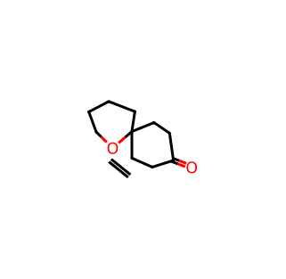 C=C.O=C1CCC2(CCCCO2)CC1